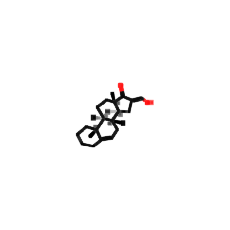 C[C@]12CCCCC1=CC[C@@H]1[C@@H]2CC[C@]2(C)C(=O)C(=CO)C[C@@H]12